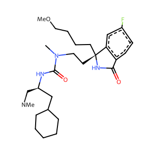 CNC[C@H](CC1CCCCC1)NC(=O)N(C)CC[C@]1(CCCCOC)NC(=O)c2ccc(F)cc21